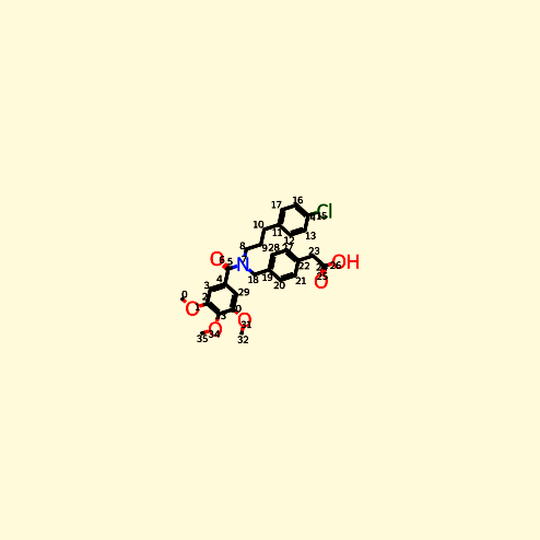 COc1cc(C(=O)N(CCCc2ccc(Cl)cc2)Cc2ccc(CC(=O)O)cc2)cc(OC)c1OC